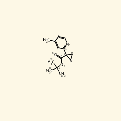 Cc1ccnc(C2(C(=O)OC(C)(C)C)CC2)c1